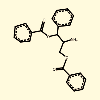 NC(COC(=O)c1ccccc1)C(OC(=O)c1ccccc1)c1ccccc1